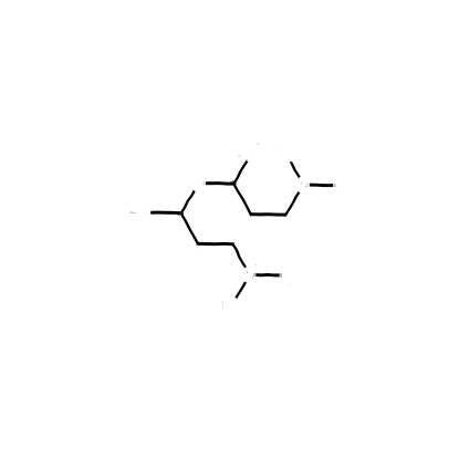 CCCCCCCC(CCN(CC)CC)OC(CCCCCCC)CCN(CC)CC